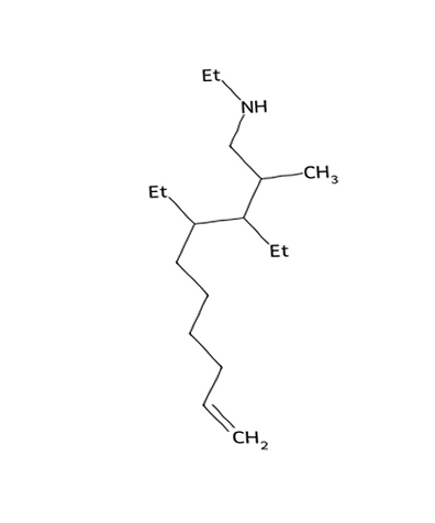 C=CCCCCC(CC)C(CC)C(C)CNCC